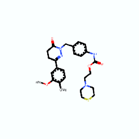 CCCOc1cc(C2=NN(Cc3ccc(NC(=O)OCCN4CCSCC4)cc3)C(=O)CC2)ccc1OC